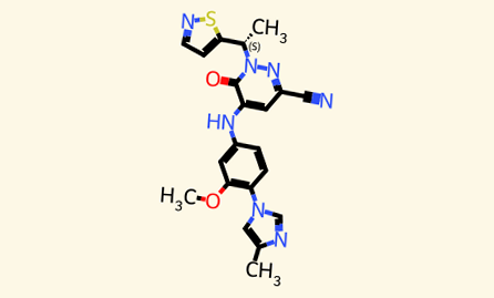 COc1cc(Nc2cc(C#N)nn([C@@H](C)c3ccns3)c2=O)ccc1-n1cnc(C)c1